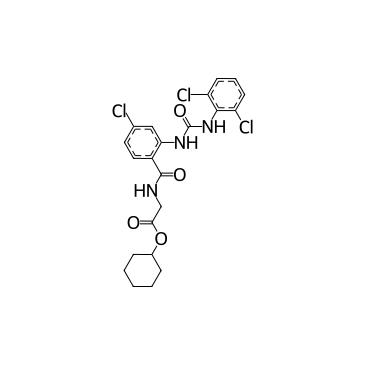 O=C(Nc1cc(Cl)ccc1C(=O)NCC(=O)OC1CCCCC1)Nc1c(Cl)cccc1Cl